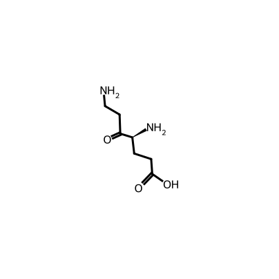 NCCC(=O)[C@@H](N)CCC(=O)O